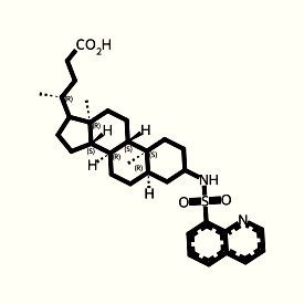 C[C@H](CCC(=O)O)C1CC[C@H]2[C@@H]3CC[C@@H]4CC(NS(=O)(=O)c5cccc6cccnc56)CC[C@]4(C)[C@H]3CC[C@]12C